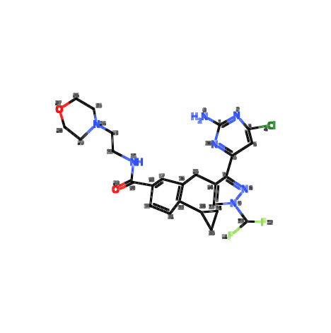 Nc1nc(Cl)cc(-c2nn(C(F)F)cc2Cc2cc(C(=O)NCCN3CCOCC3)ccc2C2CC2)n1